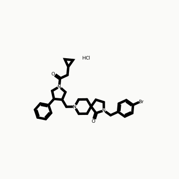 Cl.O=C(CC1CC1)N1CC(CN2CCC3(CC2)CCN(Cc2ccc(Br)cc2)C3=O)C(c2ccccc2)C1